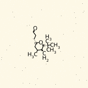 C=C1C(C)C[C@H](CCC=O)O[C@@H]1C(C)(C)C